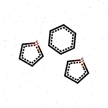 c1ccccc1.c1ccsc1.c1ccsc1